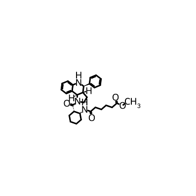 COC(=O)CCCCC(=O)N[C@@H]1CCCC[C@@H]1C(=O)N1CC[C@H]2[C@H](c3ccccc3)Nc3ccccc3[C@@H]21